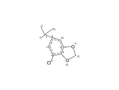 CC(C)(C)c1cc(Cl)c2c(c1)OCO2